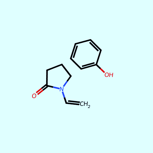 C=CN1CCCC1=O.Oc1ccccc1